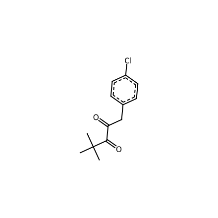 CC(C)(C)C(=O)C(=O)Cc1ccc(Cl)cc1